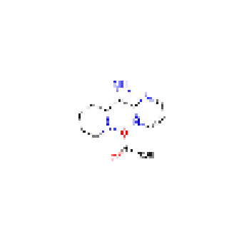 CC(C)(C)C(=O)ON1CCCCC1C(N)c1ncccn1